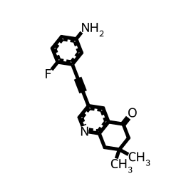 CC1(C)CC(=O)c2cc(C#Cc3cc(N)ccc3F)cnc2C1